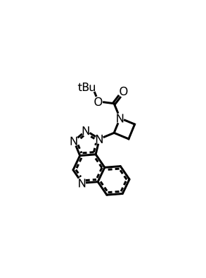 CC(C)(C)OC(=O)N1CCC1n1nnc2cnc3ccccc3c21